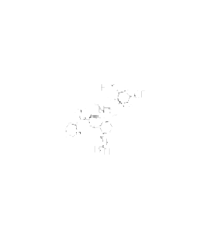 [2H]C([2H])([2H])Oc1cccc([C@@H]2[C@H](NC(=O)c3ccccn3)CCN2C(=O)Cc2ncc(C(F)(F)F)cc2C(F)(F)F)c1C